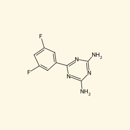 Nc1nc(N)nc(-c2cc(F)cc(F)c2)n1